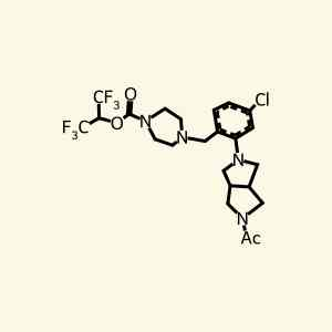 CC(=O)N1CC2CN(c3cc(Cl)ccc3CN3CCN(C(=O)OC(C(F)(F)F)C(F)(F)F)CC3)CC2C1